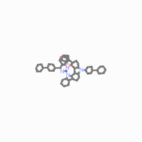 c1ccc(-c2ccc(-c3nc(-n4c5ccccc5c5ccc6c(c7c8oc9ccccc9c8ccc7n6-c6ccc(-c7ccccc7)cc6)c54)nc4ccccc34)cc2)cc1